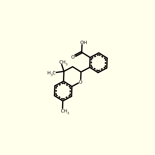 Cc1ccc2c(c1)OC(c1ccccc1C(=O)O)CC2(C)C